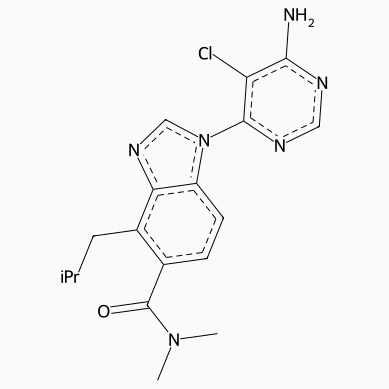 CC(C)Cc1c(C(=O)N(C)C)ccc2c1ncn2-c1ncnc(N)c1Cl